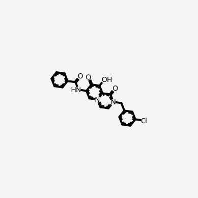 O=C(Nc1cn2ccn(Cc3cccc(Cl)c3)c(=O)c2c(O)c1=O)c1ccccc1